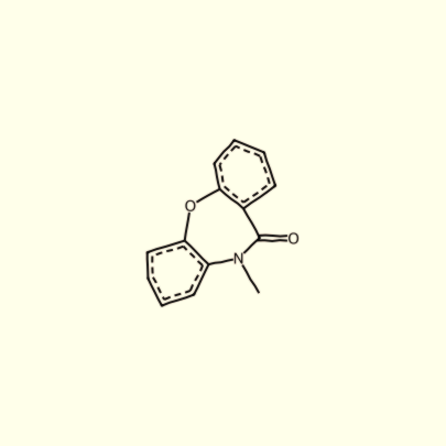 CN1C(=O)c2ccccc2Oc2ccccc21